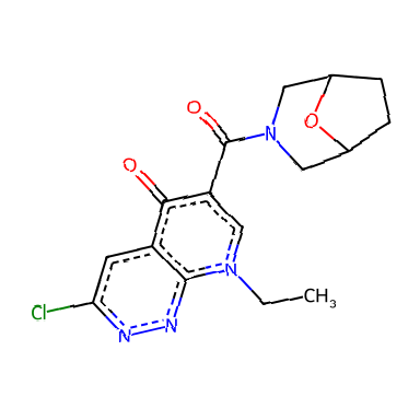 CCn1cc(C(=O)N2CC3CCC(C2)O3)c(=O)c2cc(Cl)nnc21